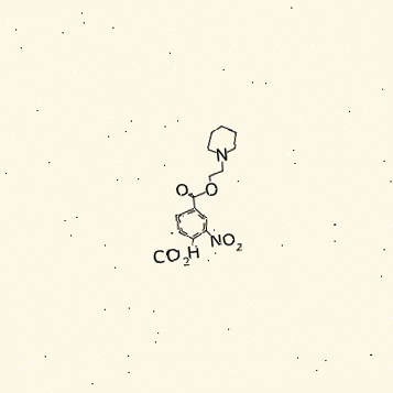 O=C(OCCN1CCCCC1)c1ccc(C(=O)O)c([N+](=O)[O-])c1